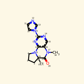 CC[C@@]12CCCN1c1nc(-n3ccnc3)ncc1N(C)C2=O